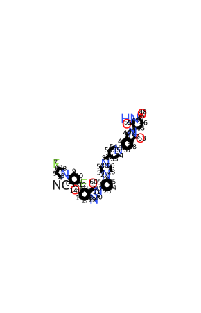 N#Cc1c(N2CC[C@@H](F)C2)ccc(F)c1Oc1ccc2ncn(-c3cccc(N4CCN(CC5CCN(c6ccc7c(c6)CN(C6CCC(=O)NC6=O)C7=O)CC5)CC4)c3)c(=O)c2c1